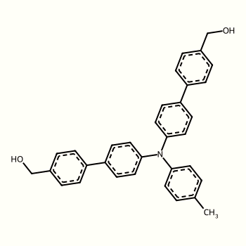 Cc1ccc(N(c2ccc(-c3ccc(CO)cc3)cc2)c2ccc(-c3ccc(CO)cc3)cc2)cc1